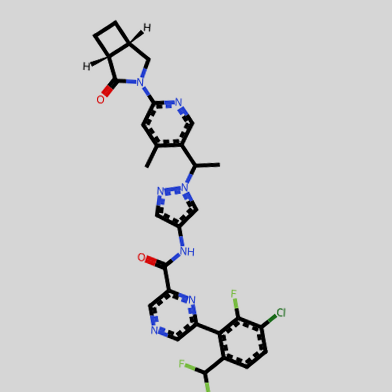 Cc1cc(N2C[C@H]3CC[C@H]3C2=O)ncc1C(C)n1cc(NC(=O)c2cncc(-c3c(C(F)F)ccc(Cl)c3F)n2)cn1